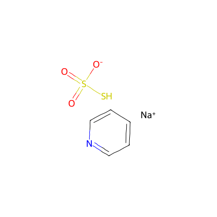 O=S(=O)([O-])S.[Na+].c1ccncc1